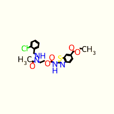 CCOC(=O)c1ccc2nc(NC(=O)OCCN(NCc3ccccc3Cl)C(C)=O)sc2c1